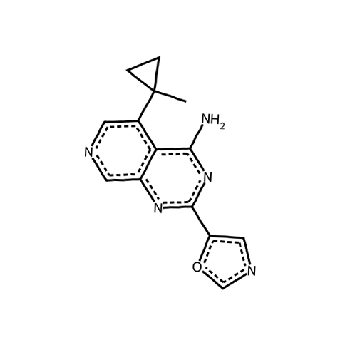 CC1(c2cncc3nc(-c4cnco4)nc(N)c23)CC1